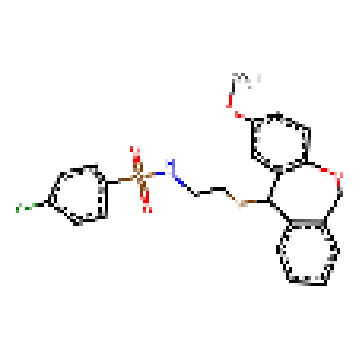 O=C(O)Oc1ccc2c(c1)C(SCCNS(=O)(=O)c1ccc(Cl)cc1)c1ccccc1CO2